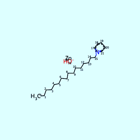 CCCCCCCCCCCCCCCC[n+]1ccccc1.[OH-].[Zn]